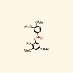 COc1cc(OC)c(C(C)=O)c(OC(=O)c2ccc(OC)c(OC)c2)c1